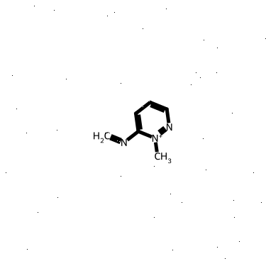 C=Nc1cccn[n+]1C